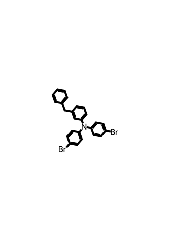 Brc1ccc(N(c2ccc(Br)cc2)c2cccc(Cc3ccccc3)c2)cc1